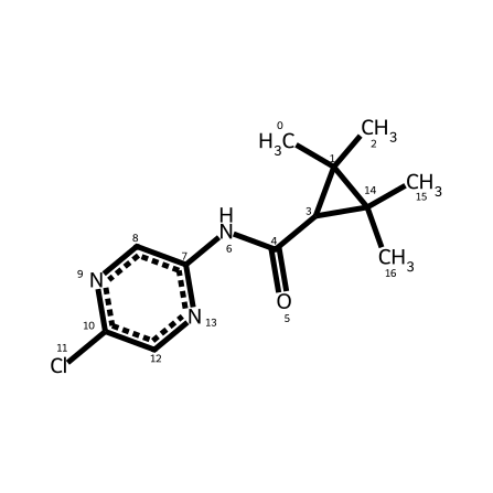 CC1(C)C(C(=O)Nc2cnc(Cl)cn2)C1(C)C